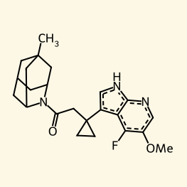 COc1cnc2[nH]cc(C3(CC(=O)N4C5CC6CC4CC(C)(C6)C5)CC3)c2c1F